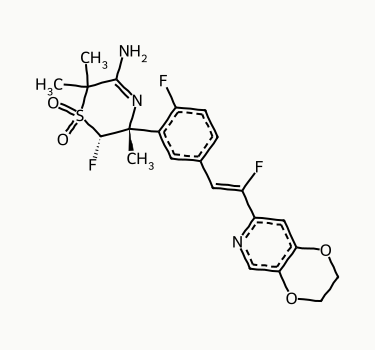 CC1(C)C(N)=N[C@](C)(c2cc(/C=C(\F)c3cc4c(cn3)OCCO4)ccc2F)[C@H](F)S1(=O)=O